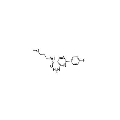 COCCCNC(=O)c1cnc(-c2ccc(F)cc2)nc1N